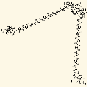 CC(C)(C)c1ccc(COCCOCCOCCOCCOCCOCCOCCOCCC(O)C(C)(C)c2cccc(C(C)(C)C(O)CCOCCOCCOCCOCCOCCOCCOCCOCc3ccc(C(C)(C)C)cc3)c2)cc1